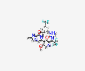 CCN(C(=O)N[C@@H](CCC(F)F)C1CC1)[C@@H](c1cc(-c2cn3cc(C)nc3c(OC)n2)c(OC)cn1)C(F)(F)F